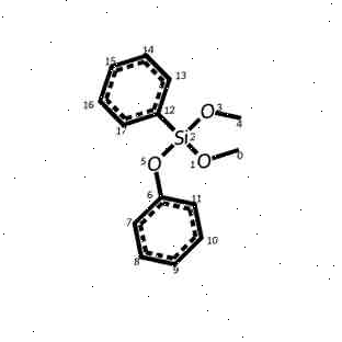 CO[Si](OC)(Oc1ccccc1)c1ccccc1